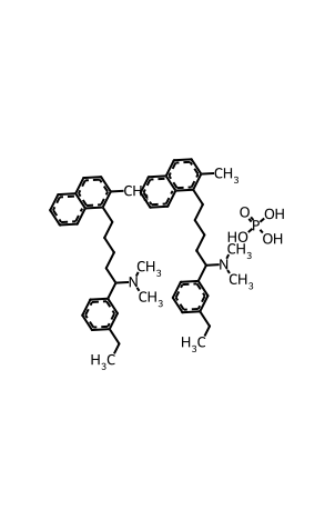 CCc1cccc(C(CCCCc2c(C)ccc3ccccc23)N(C)C)c1.CCc1cccc(C(CCCCc2c(C)ccc3ccccc23)N(C)C)c1.O=P(O)(O)O